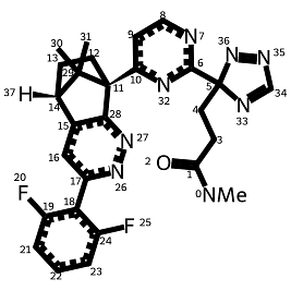 CNC(=O)CCC1(c2nccc([C@@]34CC[C@@H](c5cc(-c6c(F)cccc6F)nnc53)C4(C)C)n2)N=CN=N1